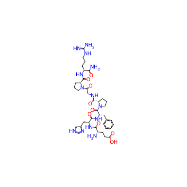 N=C(N)NCCC[C@H](NC(=O)[C@@H]1CCCN1C(=O)CNC(=O)[C@@H]1CCCN1C(=O)[C@H](Cc1ccccc1)NC(=O)[C@H](Cc1c[nH]cn1)NC(=O)[C@@H](N)CCC(=O)O)C(N)=O